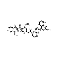 COc1cc(CC(=O)N2CCOc3cc(C(CC(=O)O)c4ccccc4)ccc32)ccc1NC(=O)Nc1ccccc1C